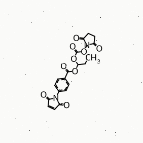 CCC(OC(=O)ON1C(=O)CCC1=O)OC(=O)c1ccc(N2C(=O)C=CC2=O)cc1